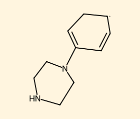 [CH]1C=CC(N2CCNCC2)=CC1